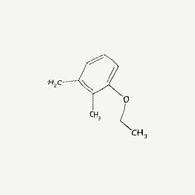 [CH2]c1cccc(OCC)c1C